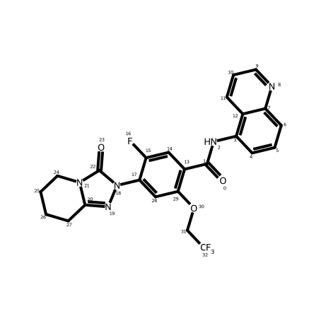 O=C(Nc1cccc2ncccc12)c1cc(F)c(-n2nc3n(c2=O)CCCC3)cc1OCC(F)(F)F